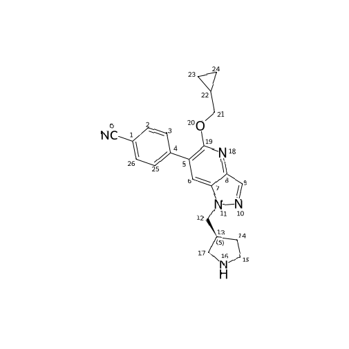 N#Cc1ccc(-c2cc3c(cnn3C[C@H]3CCNC3)nc2OCC2CC2)cc1